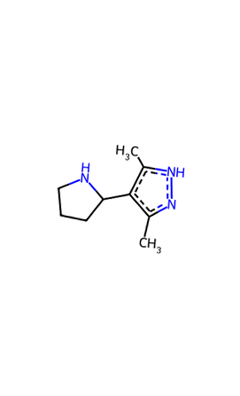 Cc1n[nH]c(C)c1C1CCCN1